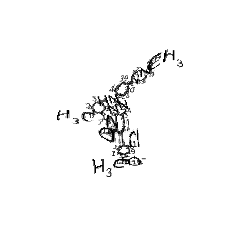 Cc1ccccc1Cn1c(=O)c(-c2ccc([S+](C)[O-])cc2Cl)cc2cnc(Nc3ccc(N4CCN(C)CC4)cc3)nc21